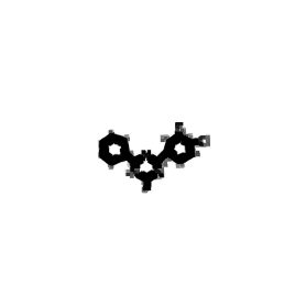 Cc1nc(-c2ccccc2)nc(-c2ccc(Cl)c(F)c2)n1